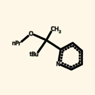 CCCOC(C)(c1ccccn1)C(C)(C)C